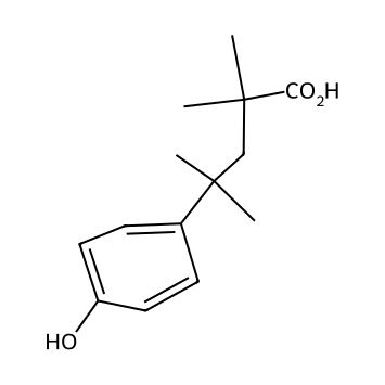 CC(C)(CC(C)(C)c1ccc(O)cc1)C(=O)O